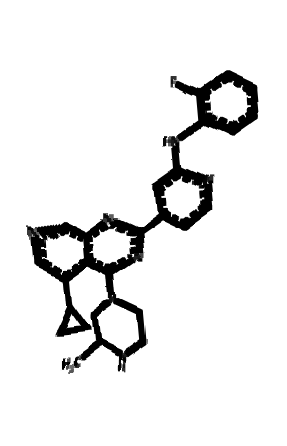 CC1CN(c2nc(-c3ccnc(Nc4ccccc4F)c3)nc3cncc(C4CC4)c23)CCN1